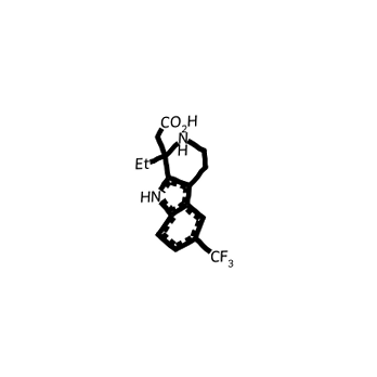 CCC1(CC(=O)O)NCCc2c1[nH]c1ccc(C(F)(F)F)cc21